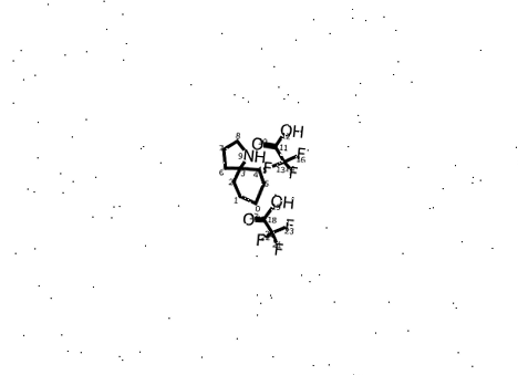 C1CCC2(CC1)CCCN2.O=C(O)C(F)(F)F.O=C(O)C(F)(F)F